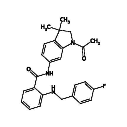 CC(=O)N1CC(C)(C)c2ccc(NC(=O)c3ccccc3NCc3ccc(F)cc3)cc21